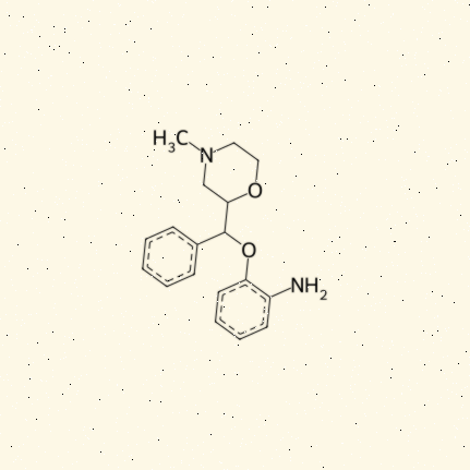 CN1CCOC(C(Oc2ccccc2N)c2ccccc2)C1